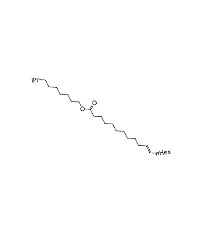 CCCCCC/C=C/CCCCCCCCCC(=O)OCCCCCCCC(C)C